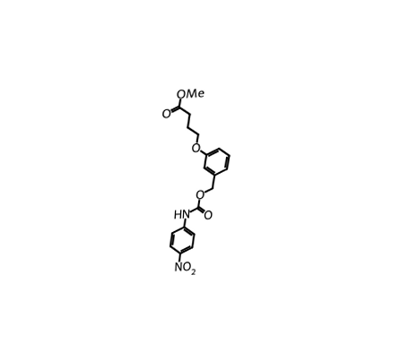 COC(=O)CCCOc1cccc(COC(=O)Nc2ccc([N+](=O)[O-])cc2)c1